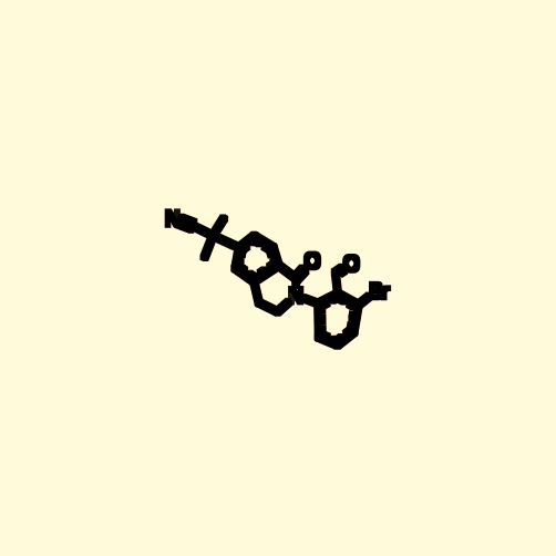 CC(C)(C#N)c1ccc2c(c1)CCN(c1cccc(Br)c1C=O)C2=O